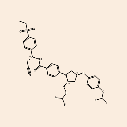 CCS(=O)(=O)c1ccc([C@@H](CC#N)NC(=O)c2ccc(N3C[C@@H](Oc4ccc(OC(F)F)cc4)C[C@H]3COC(F)F)cc2)cc1